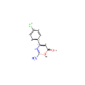 Nc1nc(-c2ccc(Cl)cc2)cc(=O)o1